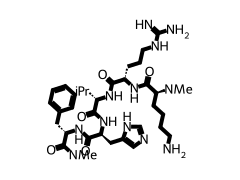 CNC(=O)[C@H](Cc1ccccc1)NC(=O)[C@H](Cc1cnc[nH]1)NC(=O)[C@@H](NC(=O)[C@H](CCCNC(=N)N)NC(=O)[C@H](CCCCN)NC)C(C)C